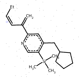 C=C(/C=C\CC)c1cc(CC2CCCC2)c([Si](C)(C)C)cn1